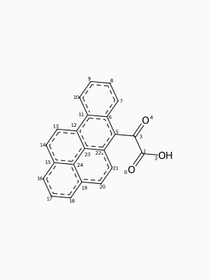 O=C(O)C(=O)c1c2ccccc2c2ccc3cccc4ccc1c2c43